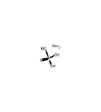 OP(O)(O)=S.[PbH2]